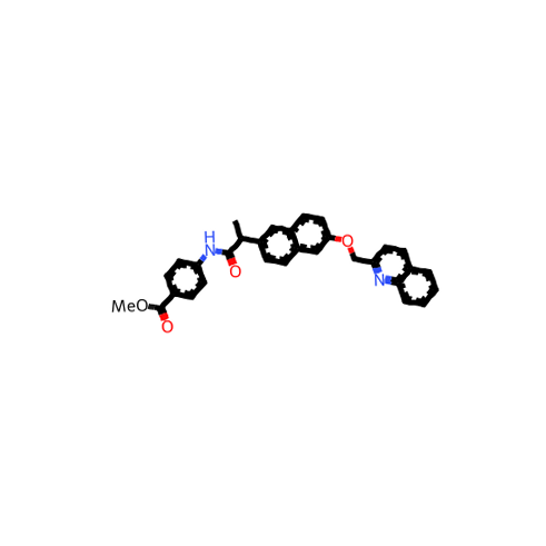 COC(=O)c1ccc(NC(=O)C(C)c2ccc3cc(OCc4ccc5ccccc5n4)ccc3c2)cc1